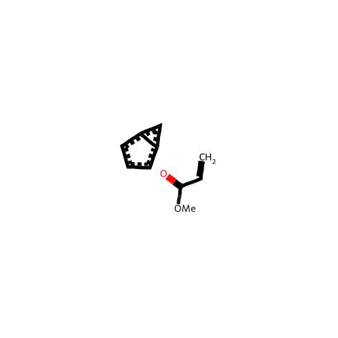 C=CC(=O)OC.c1cc2cc-2c1